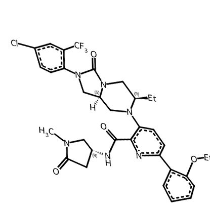 CCOc1ccccc1-c1ccc(N2C[C@H]3CN(c4ccc(Cl)cc4C(F)(F)F)C(=O)N3C[C@H]2CC)c(C(=O)N[C@@H]2CC(=O)N(C)C2)n1